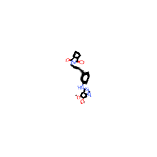 COc1cc2ncnc(Nc3cccc(C#CCN4C(=O)c5ccccc5C4=O)c3)c2cc1OC